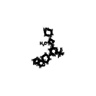 C[C@@H]1[C@H](N2CCNCC2)CN1c1cc(N2CCC3(CC2)OCc2ncsc23)nc(C(F)(F)F)n1